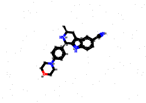 C[C@H]1Cc2c([nH]c3ccc(C#N)cc23)[C@H](c2ccc(N3CCOCC3)cc2)N1